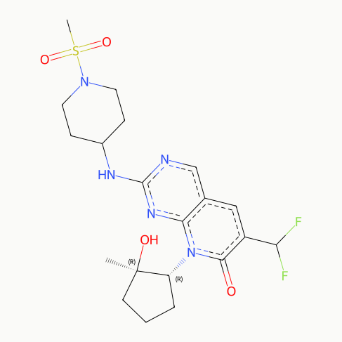 C[C@@]1(O)CCC[C@H]1n1c(=O)c(C(F)F)cc2cnc(NC3CCN(S(C)(=O)=O)CC3)nc21